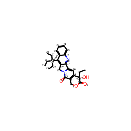 CC[C@@]1(O)C(=O)OCc2c1cc1n(c2=O)Cc2c-1nc1ccccc1c2[Si](CC)(CC)CC